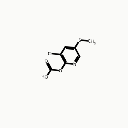 CSc1cnc(OC(=O)O)c(Cl)c1